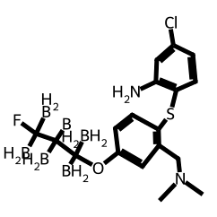 BC(B)(F)C(B)(B)C(B)(B)Oc1ccc(Sc2ccc(Cl)cc2N)c(CN(C)C)c1